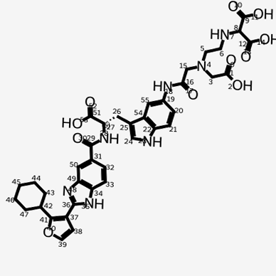 O=C(O)CN(CCNC(C(=O)O)C(=O)O)CC(=O)Nc1ccc2[nH]cc(C[C@H](NC(=O)c3ccc4[nH]c(-c5ccoc5C5CCCCC5)nc4c3)C(=O)O)c2c1